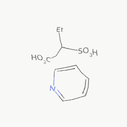 CCC(C(=O)O)S(=O)(=O)O.c1ccncc1